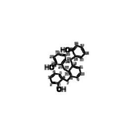 Oc1ccccc1Cc1cccc(Cc2ccccc2O)c1Cc1ccccc1O